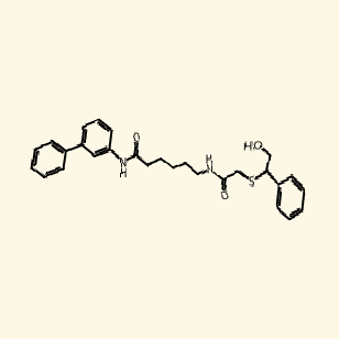 O=C(CSC(CO)c1ccccc1)NCCCCCC(=O)Nc1cccc(-c2ccccc2)c1